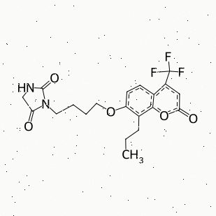 CCCc1c(OCCCCN2C(=O)CNC2=O)ccc2c(C(F)(F)F)cc(=O)oc12